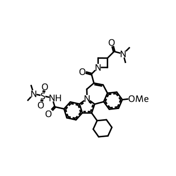 COc1ccc2c(c1)C=C(C(=O)N1CC(C(=O)N(C)C)C1)Cn1c-2c(C2CCCCC2)c2ccc(C(=O)NS(=O)(=O)N(C)C)cc21